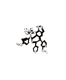 Cc1cc(-c2c(C3CCOCC3)nc(N(c3ccc(O)cc3)S(C)(=O)=O)c3cc4[nH]ncc4cc23)ccn1